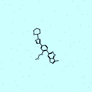 COCOc1cc(-c2cnn(C3CCCCO3)c2)ccc1-c1cc2scc(C)c2nn1